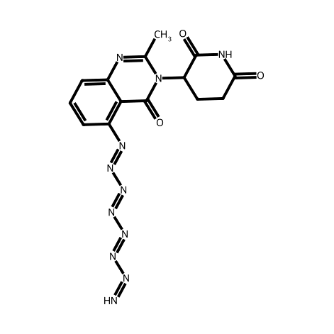 Cc1nc2cccc(N=NN=NN=NN=N)c2c(=O)n1C1CCC(=O)NC1=O